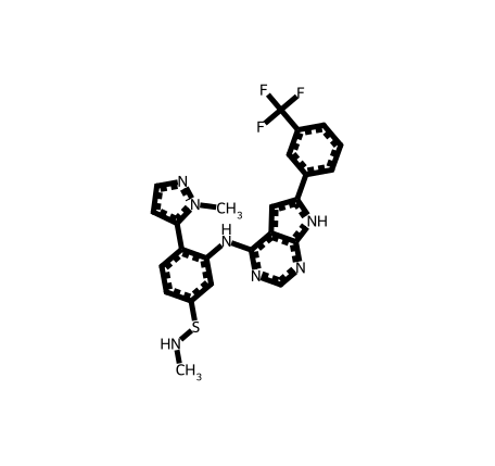 CNSc1ccc(-c2ccnn2C)c(Nc2ncnc3[nH]c(-c4cccc(C(F)(F)F)c4)cc23)c1